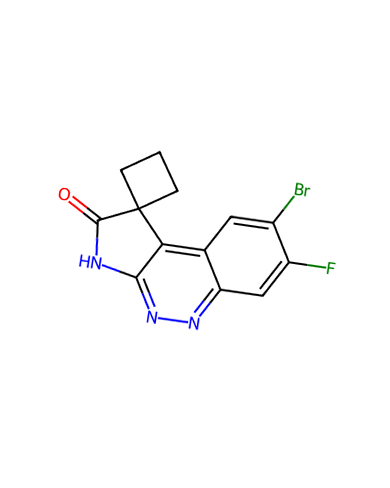 O=C1Nc2nnc3cc(F)c(Br)cc3c2C12CCC2